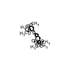 COc1cc2c(c(OC)c1OC)C#Cc1ccc(OCC3C#CC(OC)C(OC)CN(C(=O)C(C)C)C3)cc1CN2C(=O)S